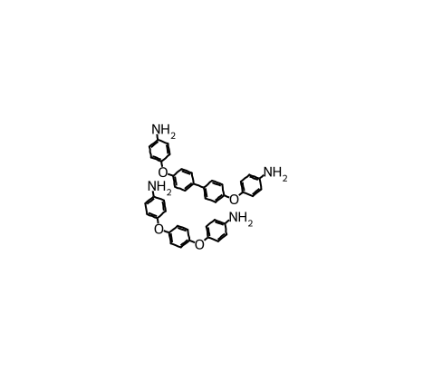 Nc1ccc(Oc2ccc(-c3ccc(Oc4ccc(N)cc4)cc3)cc2)cc1.Nc1ccc(Oc2ccc(Oc3ccc(N)cc3)cc2)cc1